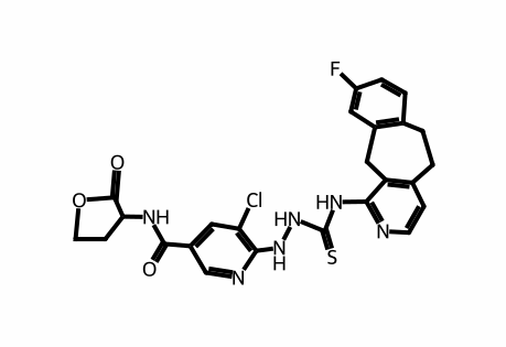 O=C(NC1CCOC1=O)c1cnc(NNC(=S)Nc2nccc3c2Cc2cc(F)ccc2CC3)c(Cl)c1